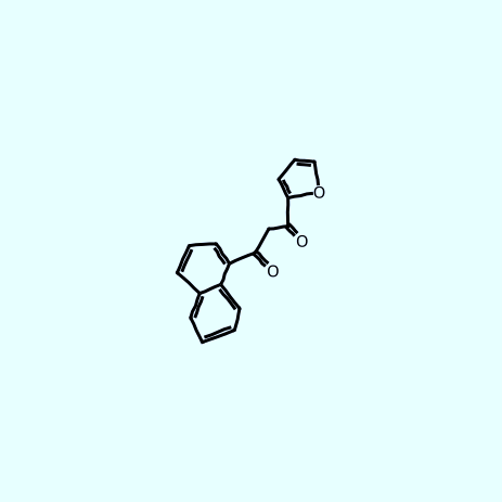 O=C(CC(=O)c1cccc2ccccc12)c1ccco1